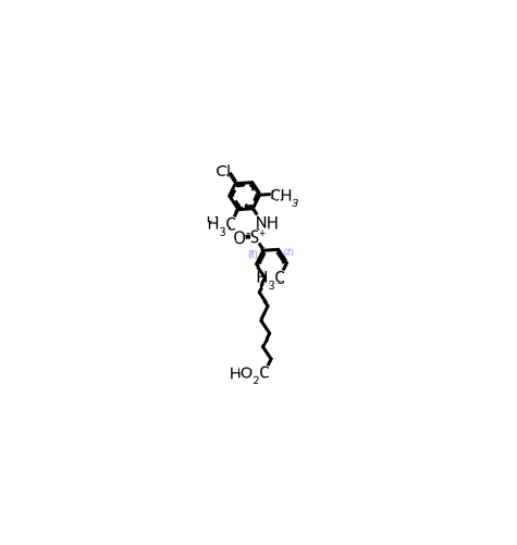 C/C=C\C(=C/CCCCCCCC(=O)O)[S+]([O-])Nc1c(C)cc(Cl)cc1C